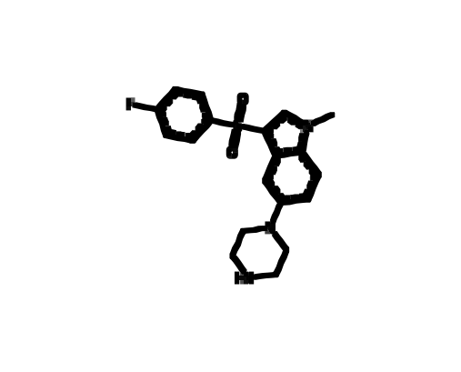 Cn1cc(S(=O)(=O)c2ccc(F)cc2)c2cc(N3CCNCC3)ccc21